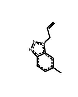 C=CCn1nnc2ccc(C)cc21